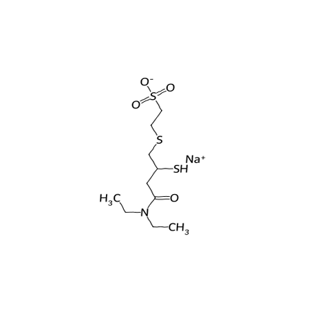 CCN(CC)C(=O)CC(S)CSCCS(=O)(=O)[O-].[Na+]